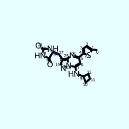 Cc1ccc(-c2cc(NC3CCC3)n3ncc(/C=C4/NC(=O)NC4=O)c3n2)s1